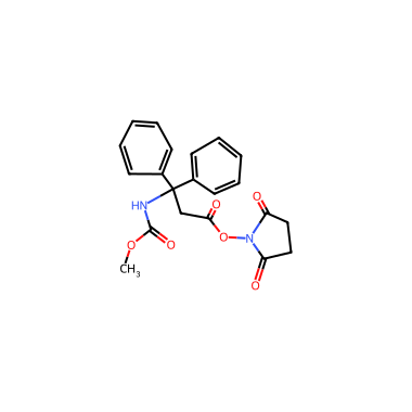 COC(=O)NC(CC(=O)ON1C(=O)CCC1=O)(c1ccccc1)c1ccccc1